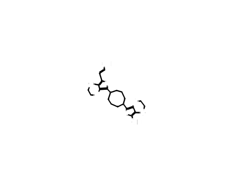 C/C=C/c1sc(C2CCCC(c3sc(C)c4c3OCCO4)CCC2)c2c1OCCO2